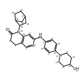 O=C1CCc2cnc(Nc3ccc(N4CCC(O)CC4)cc3)cc2N1C1CC2CCC1C2